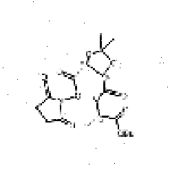 CC(C)COC(=O)[C@H](C)OC(=O)[C@@H]1OC(C)(C)O[C@H]1C(=O)ON1C(=O)CCC1=O